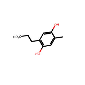 Cc1cc(O)c(CCC(=O)O)cc1O